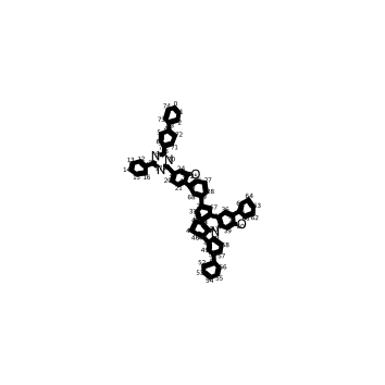 c1ccc(-c2ccc(-c3nc(-c4ccccc4)nc(-c4ccc5c(c4)oc4ccc(-c6cccc(-c7cc8c(cc7-n7c9ccccc9c9cc(-c%10ccccc%10)ccc97)oc7ccccc78)c6)cc45)n3)cc2)cc1